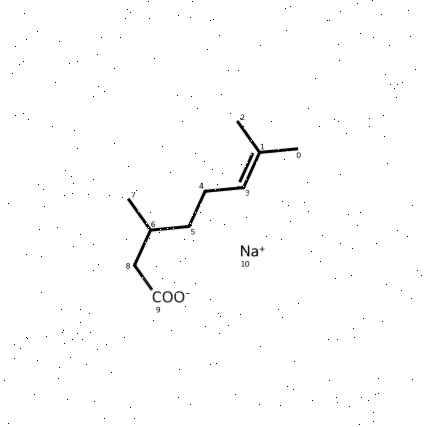 CC(C)=CCCC(C)CC(=O)[O-].[Na+]